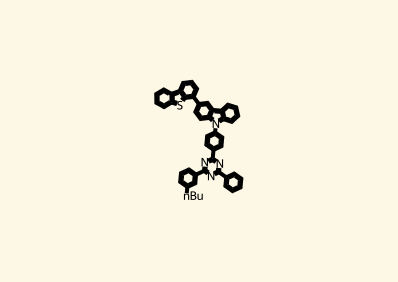 CCCCc1cccc(-c2nc(-c3ccccc3)nc(-c3ccc(-n4c5ccccc5c5cc(-c6cccc7c6sc6ccccc67)ccc54)cc3)n2)c1